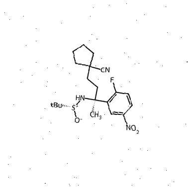 CC(C)(C)[S@@+]([O-])N[C@@](C)(CCC1(C#N)CCCC1)c1cc([N+](=O)[O-])ccc1F